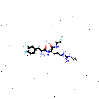 CNC(=N)NCCC[C@H](NC(=O)[C@@H](N)Cc1ccc(F)c(F)c1)C(=O)NCCF